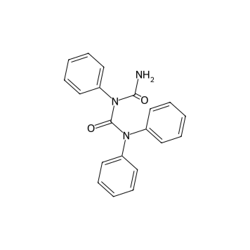 NC(=O)N(C(=O)N(c1ccccc1)c1ccccc1)c1ccccc1